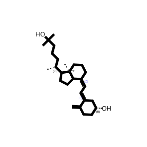 C=C1CC[C@@H](O)C/C1=C\C=C1\CCC[C@@]2(C)C1CCC2[C@H](C)CCCC(C)(C)O